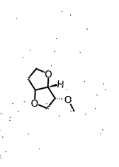 CO[C@@H]1COC2CCO[C@@H]21